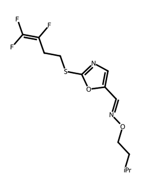 CC(C)CCON=Cc1cnc(SCCC(F)=C(F)F)o1